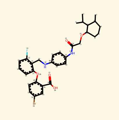 CC(C)C1C(C)CCCC1OCC(=O)Nc1ccc(NCc2c(F)cccc2Oc2ccc(Br)cc2C(=O)O)cc1